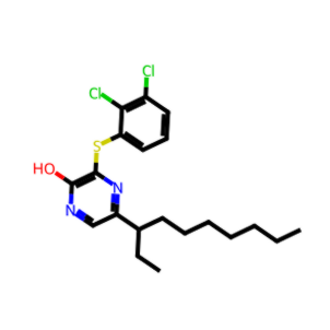 CCCCCCCC(CC)c1cnc(O)c(Sc2cccc(Cl)c2Cl)n1